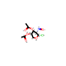 CC(=O)O[C@H]1[C@H](N=O)[C@H](Cl)OC[C@H]1OC(C)=O